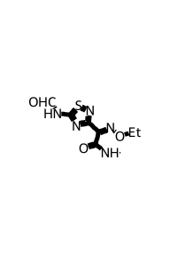 CCON=C(C([NH])=O)c1nsc(NC=O)n1